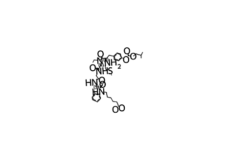 CCN(C(=O)[C@@H](N)Cc1ccc(OC(=O)OCC(C)C)cc1)[C@H](CCSC)C(=O)NCC(=O)N[C@@H](Cc1ccccc1)C(=O)NCCCCCC(=O)OC